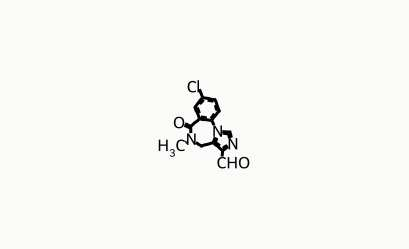 CN1Cc2c(C=O)ncn2-c2ccc(Cl)cc2C1=O